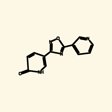 O=c1ccc(-c2noc(-c3cccnc3)n2)c[nH]1